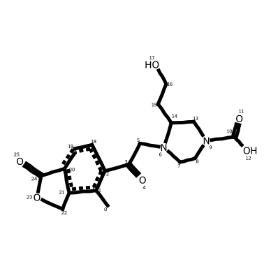 Cc1c(C(=O)CN2CCN(C(=O)O)CC2CCO)ccc2c1COC2=O